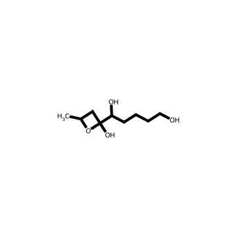 CC1CC(O)(C(O)CCCCO)O1